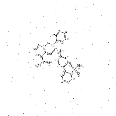 N=C(N)c1cccc(CC(C(=O)Nc2ccc(-c3ccccc3S(N)(=O)=O)cc2)c2ccccn2)c1